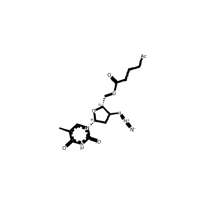 CC(=O)CCCC(=O)OC[C@H]1O[C@@H](n2cc(C)c(=O)[nH]c2=O)CC1N=[N+]=[N-]